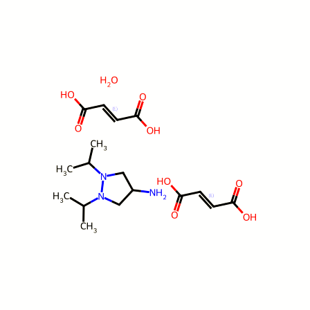 CC(C)N1CC(N)CN1C(C)C.O.O=C(O)/C=C/C(=O)O.O=C(O)/C=C/C(=O)O